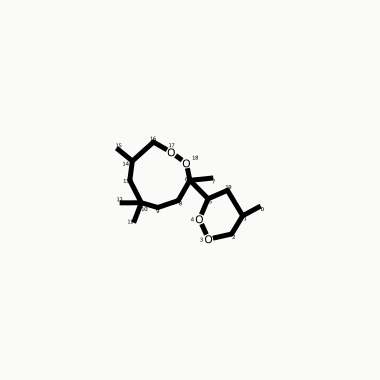 CC1COOC(C2(C)CCC(C)(C)CC(C)COO2)C1